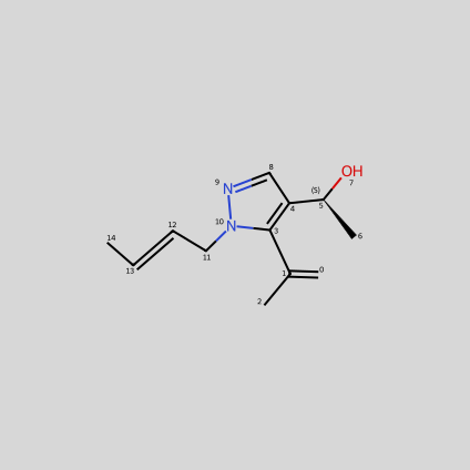 C=C(C)c1c([C@H](C)O)cnn1CC=CC